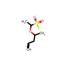 [CH]=CCC(C)OC(C)S(=O)(=O)F